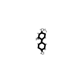 CC1CCC(C2CCC(Cl)CC2)C(F)C1